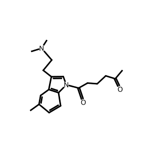 CC(=O)CCCC(=O)n1cc(CCN(C)C)c2cc(C)ccc21